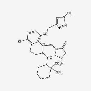 Cn1cc(COc2ccc(Cl)c3c2[C@@H](CN2CCCC2=O)N(C(=O)C2CCCCC2(C)C(=O)O)CC3)nn1